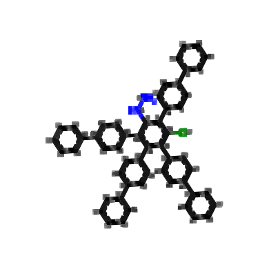 NNc1c(-c2ccc(-c3ccccc3)cc2)c(Cl)c(-c2ccc(-c3ccccc3)cc2)c(-c2ccc(-c3ccccc3)cc2)c1-c1ccc(-c2ccccc2)cc1